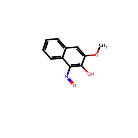 COc1cc2ccccc2c(N=O)c1O